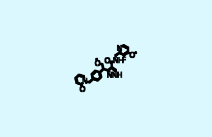 COCC(c1ccc(Cn2ccccc2=O)cc1)c1n[nH]cc1C(=O)NCc1nccc(OC)c1F